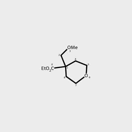 CCOC(=O)C1(COC)CCOCC1